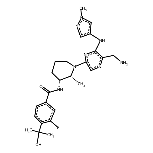 C[C@@H]1[C@H](NC(=O)c2ccc(C(C)(C)O)c(F)c2)CCCN1c1cnc(CN)c(Nc2cnn(C)c2)n1